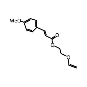 C=COCCOC(=O)/C=C/c1ccc(OC)cc1